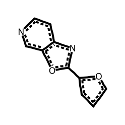 c1coc(-c2nc3ccncc3o2)c1